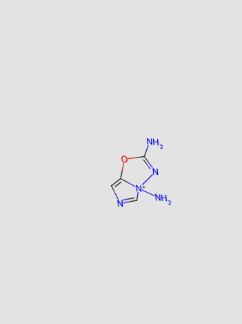 NC1=N[N+]2(N)C=NC=C2O1